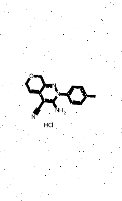 Cc1ccc(N2N=C3COCC=C3C(C#N)=C2N)cc1.Cl